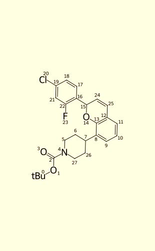 CC(C)(C)OC(=O)N1CCC(c2cccc3c2OC(c2ccc(Cl)cc2F)C=C3)CC1